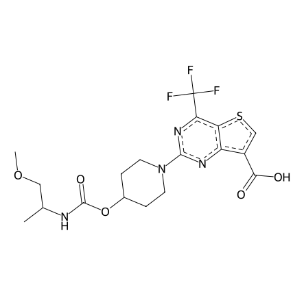 COCC(C)NC(=O)OC1CCN(c2nc(C(F)(F)F)c3scc(C(=O)O)c3n2)CC1